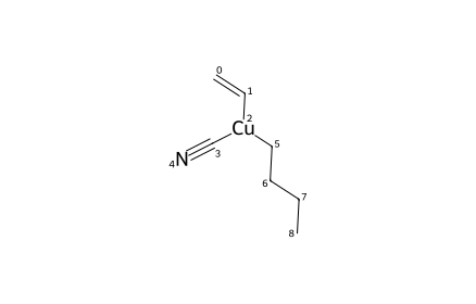 C=[CH][Cu]([C]#N)[CH2]CCC